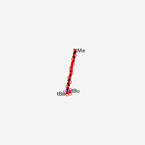 CNCCOCCOCCOCCOCCOCCOCCOCCOCCN(C(=O)OC(C)(C)C)C(=O)OC(C)(C)C